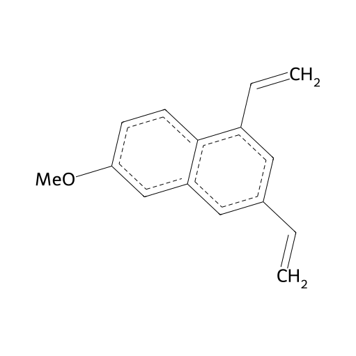 C=Cc1cc(C=C)c2ccc(OC)cc2c1